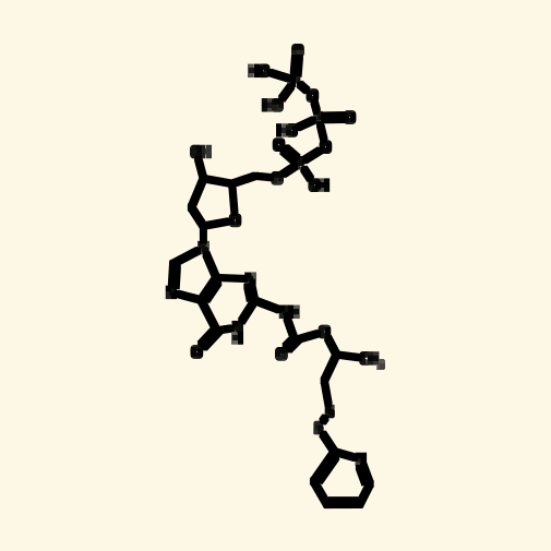 CC(CSSc1ccccn1)OC(=O)Nc1nc2c(ncn2C2CC(O)C(COP(=O)(O)OP(=O)(O)OP(=O)(O)O)O2)c(=O)[nH]1